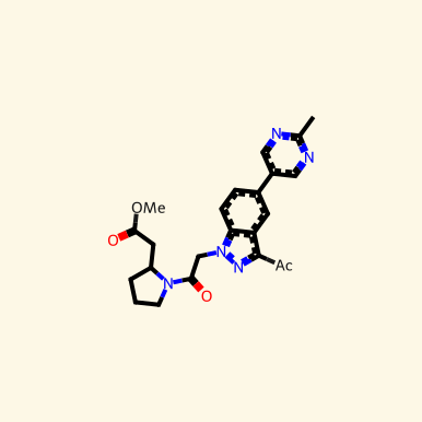 COC(=O)CC1CCCN1C(=O)Cn1nc(C(C)=O)c2cc(-c3cnc(C)nc3)ccc21